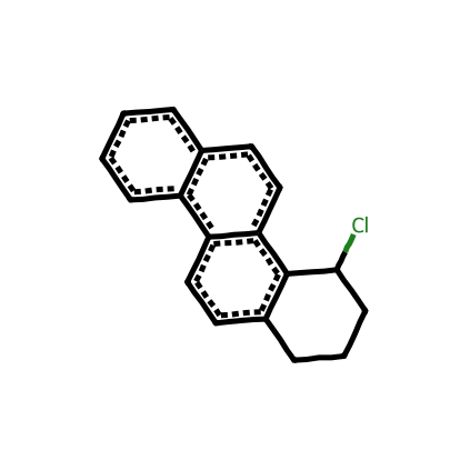 ClC1CCCc2ccc3c(ccc4ccccc43)c21